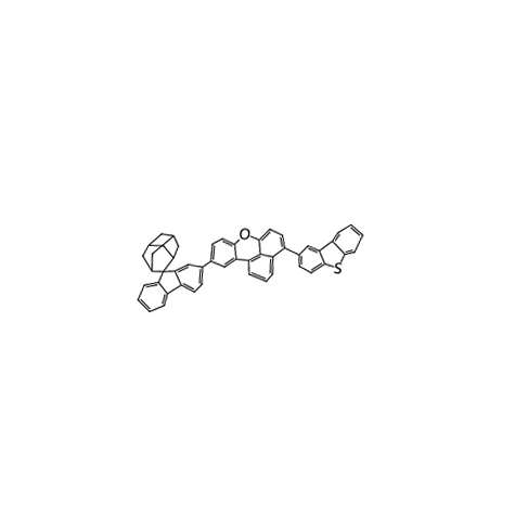 c1ccc2c(c1)-c1ccc(-c3ccc4c(c3)-c3cccc5c(-c6ccc7sc8ccccc8c7c6)ccc(c35)O4)cc1C21C2CC3CC(C2)CC1C3